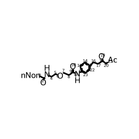 CCCCCCCCCC(=O)NCCOCCC(=O)Nc1ccc(CCC(=O)CC(C)=O)cc1